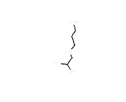 CCC(O)COCCCS